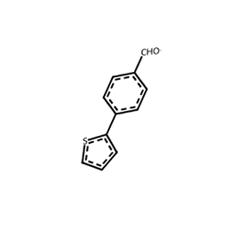 O=[C]c1ccc(-c2cccs2)cc1